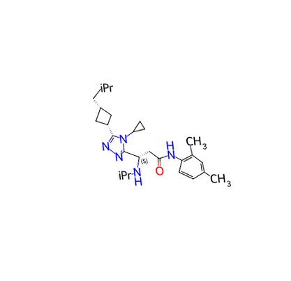 Cc1ccc(NC(=O)C[C@H](NC(C)C)c2nnc([C@H]3C[C@@H](CC(C)C)C3)n2C2CC2)c(C)c1